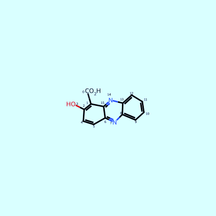 O=C(O)c1c(O)ccc2nc3ccccc3nc12